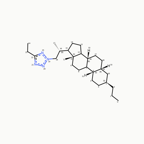 CCC[C@H]1CC[C@@H]2C3CC[C@@]4(C)C(CCC4[C@@H](C)Cn4nnc(CC)n4)[C@@H]3CC[C@@H]2C1